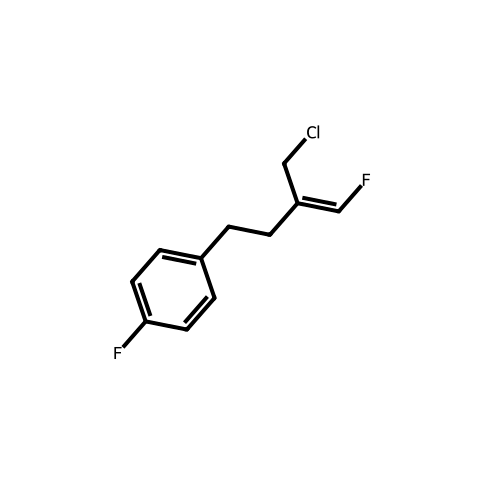 FC=C(CCl)CCc1ccc(F)cc1